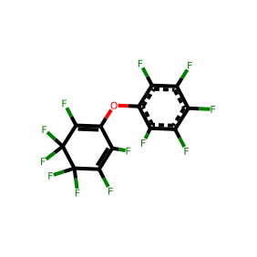 FC1=C(F)C(F)(F)C(F)(F)C(F)=C1Oc1c(F)c(F)c(F)c(F)c1F